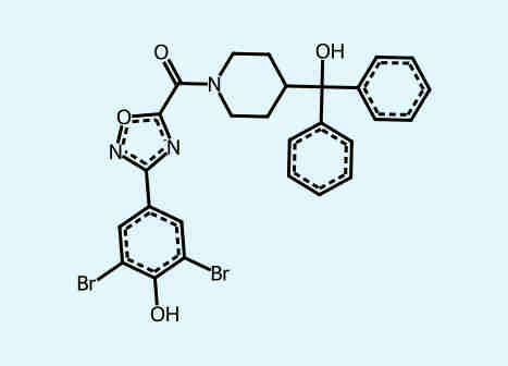 O=C(c1nc(-c2cc(Br)c(O)c(Br)c2)no1)N1CCC(C(O)(c2ccccc2)c2ccccc2)CC1